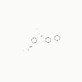 COC(=O)/C=C/c1cccc(N(Cc2ccc(-c3cccc(C(C)C)c3)cc2)C(=O)C2CCCCC2)c1